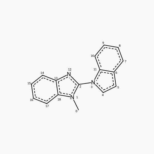 Cn1c(-n2ccc3ccccc32)nc2ccccc21